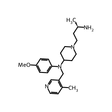 COc1ccc(N(Cc2cnccc2C)C2CCN(CC[C@@H](C)N)CC2)cc1